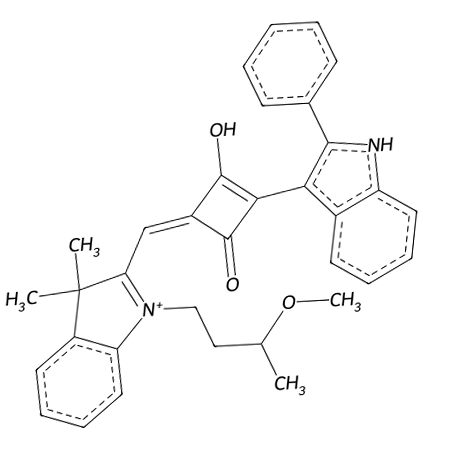 COC(C)CC[N+]1=C(/C=C2\C(=O)C(c3c(-c4ccccc4)[nH]c4ccccc34)=C2O)C(C)(C)c2ccccc21